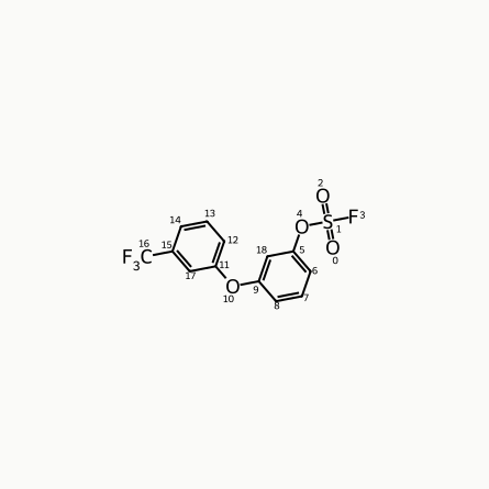 O=S(=O)(F)Oc1cccc(Oc2cccc(C(F)(F)F)c2)c1